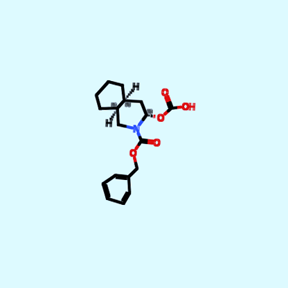 O=C(O)O[C@H]1C[C@@H]2CCCC[C@@H]2CN1C(=O)OCc1ccccc1